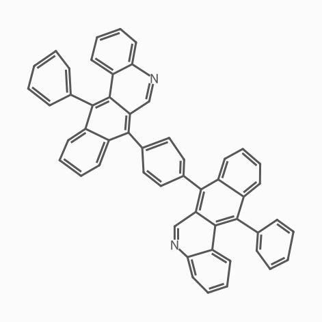 c1ccc(-c2c3ccccc3c(-c3ccc(-c4c5ccccc5c(-c5ccccc5)c5c4cnc4ccccc45)cc3)c3cnc4ccccc4c23)cc1